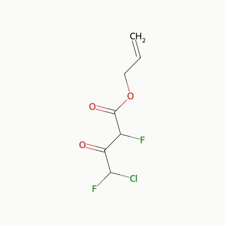 C=CCOC(=O)C(F)C(=O)C(F)Cl